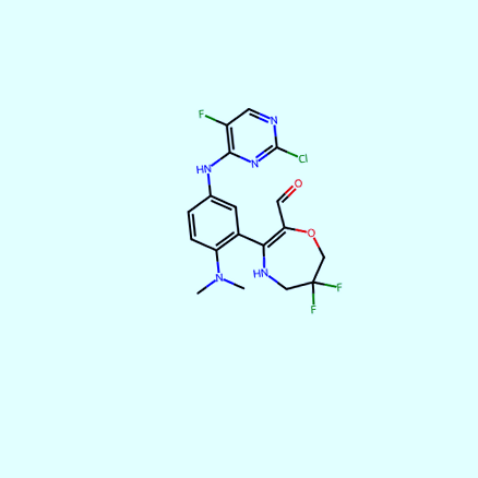 CN(C)c1ccc(Nc2nc(Cl)ncc2F)cc1C1=C(C=O)OCC(F)(F)CN1